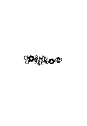 CCn1c(Oc2ccc(N3CCOCC3)cc2)nnc1[C@@H](C)NS(=O)(=O)c1ccc(Cl)c(Cl)c1